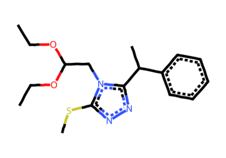 CCOC(Cn1c(SC)nnc1C(C)c1ccccc1)OCC